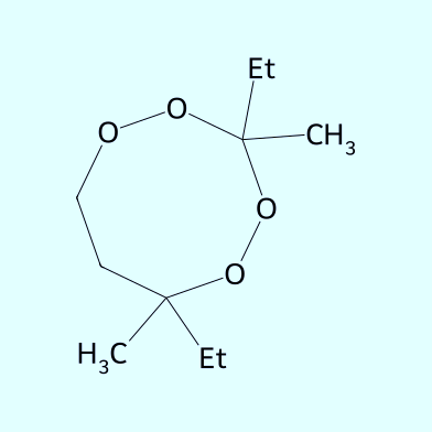 CCC1(C)CCOOC(C)(CC)OO1